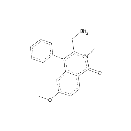 BCc1c(-c2ccccc2)c2cc(OC)ccc2c(=O)n1C